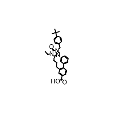 CCn1c(CCCc2cc(C(=O)O)ccc2-c2ccccc2)nn(Cc2ccc(C(C)(C)C)cc2)c1=O